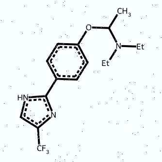 CCN(CC)C(C)Oc1ccc(-c2nc(C(F)(F)F)c[nH]2)cc1